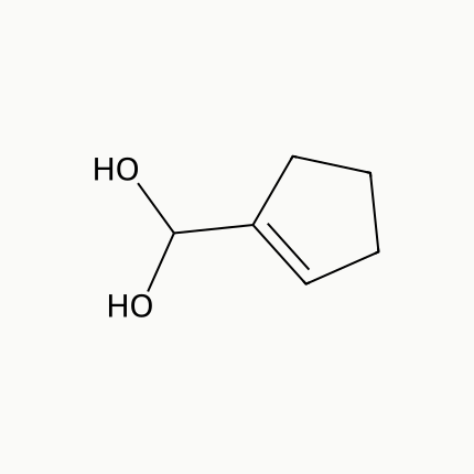 OC(O)C1=CCCC1